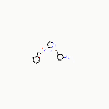 Nc1cccc(CSc2ncccc2N[S+]([O-])c2cc3ccccc3o2)c1